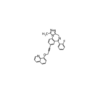 Cc1nnc2n1-c1ccc(C#CCOc3cccc4cccnc34)cc1C(c1ccccc1F)=NC2